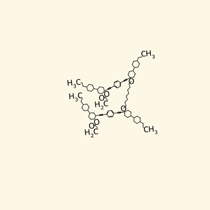 C=CC(=O)OC1CCC(C2CCC(CCC)CC2)CC1C#Cc1ccc(C#CC2(OCCCCCCCCOC3(C#Cc4ccc(C#CC5(OC(=O)C=C)CCC(C6CCC(CCC)CC6)CC5)cc4)CCC(C4CCC(CCC)CC4)CC3)CCC(C3CCC(CCC)CC3)CC2)cc1